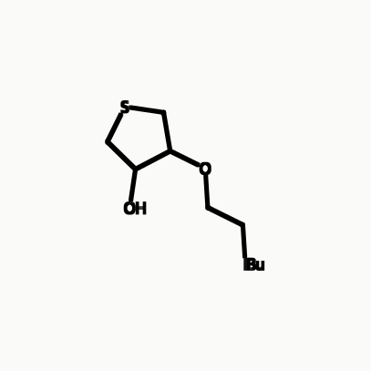 CCC(C)CCOC1CSCC1O